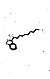 CCCCCCCCCC(C)C1=N[N]c2ccccc21